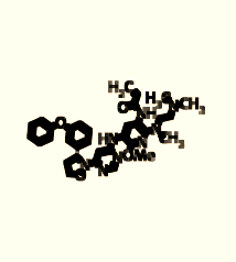 C=CC(=O)Nc1cc(Nc2cc(N3OCC[C@@H]3c3cccc(Oc4ccccc4)c3)ncn2)c(OC)nc1N(C)CCN(C)C